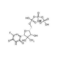 CC1(O)C(O)[C@@H](COP(=O)(O)OP(=O)(O)OP(=O)(O)O)O[C@H]1n1cc(F)c(=S)[nH]c1=O